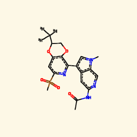 [2H]C([2H])([2H])C1COc2c(cc(S(C)(=O)=O)nc2-c2cn(C)c3cnc(NC(C)=O)cc23)O1